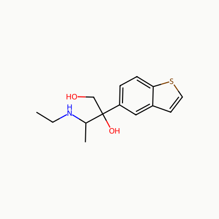 CCNC(C)C(O)(CO)c1ccc2sccc2c1